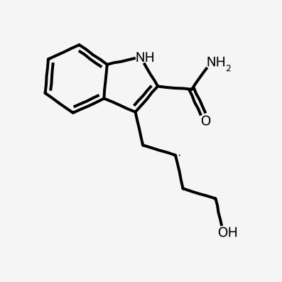 NC(=O)c1[nH]c2ccccc2c1C[CH]CCO